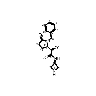 O=C(NC1CNC1)C(=O)[C@H]1CCC(=O)N1Cc1ccccc1